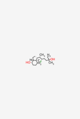 C[C@@H]([C@H]1CC[C@H]2[C@@H](O)CCC[C@]12C)[C@@H](F)CCC(C)(C)O